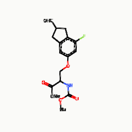 COC(=O)C(COc1cc(F)c2c(c1)CC(C=O)C2)NC(=O)OC(C)(C)C